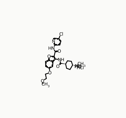 CN[C@H]1CC[C@H](C(=O)Nc2c(C(=O)Nc3ccc(Cl)cn3)oc3ccc(OCCOC)cc23)CC1.Cl.Cl